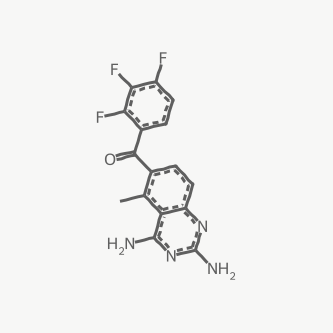 Cc1c(C(=O)c2ccc(F)c(F)c2F)ccc2nc(N)nc(N)c12